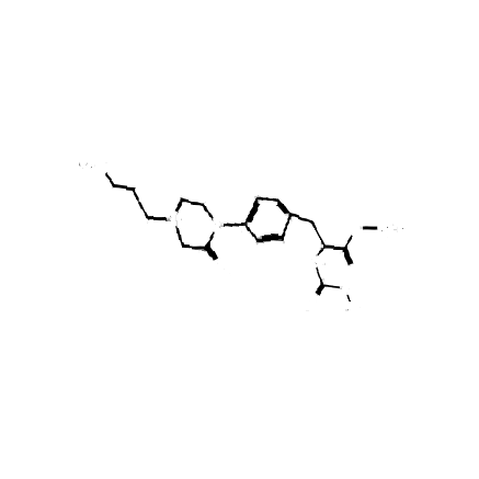 COCCCN1CCN(c2ccc(CC(NC(=O)OC(C)(C)C)C(=O)OC(C)(C)C)cc2)C(=O)C1